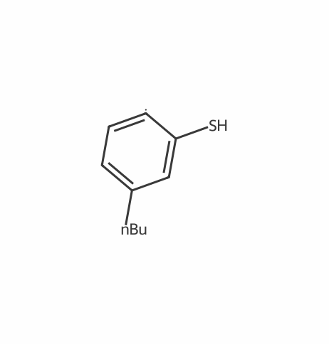 CCCCc1cc[c]c(S)c1